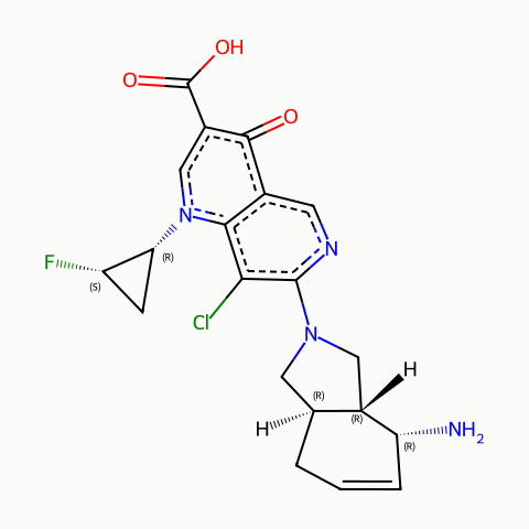 N[C@@H]1C=CC[C@H]2CN(c3ncc4c(=O)c(C(=O)O)cn([C@@H]5C[C@@H]5F)c4c3Cl)C[C@@H]21